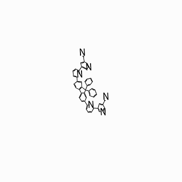 N#Cc1cncc(-c2cccc(-c3ccc4c(c3)C(c3ccccc3)(c3ccccc3)c3cc(-c5cccc(-c6cncc(C#N)c6)n5)ccc3-4)n2)c1